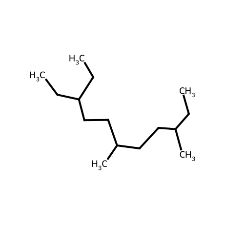 CCC(C)CCC(C)CCC(CC)CC